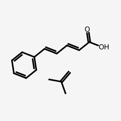 C=C(C)C.O=C(O)C=CC=Cc1ccccc1